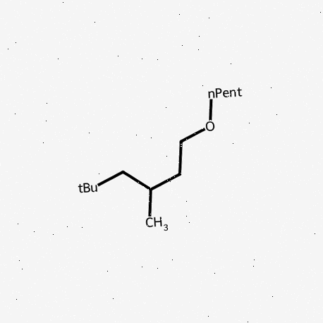 CCCCCOCCC(C)CC(C)(C)C